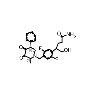 C[C@H]1C(=O)C(=O)[C@@H](c2ccccc2)SN1Cc1cc(F)c(C(CO)CCC(N)=O)cc1F